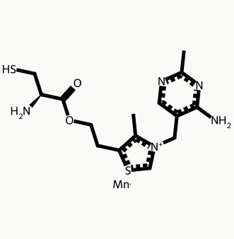 Cc1ncc(C[n+]2csc(CCOC(=O)[C@@H](N)CS)c2C)c(N)n1.[Mn]